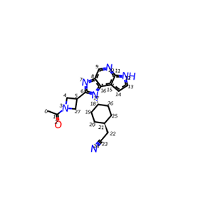 CC(=O)N1CC(c2nc3cnc4[nH]ccc4c3n2[C@H]2CC[C@H](CC#N)CC2)C1